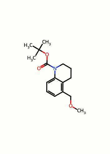 COCc1cccc2c1CCCN2C(=O)OC(C)(C)C